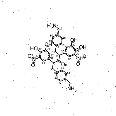 NCc1ccc(CC(C(=O)C(Cc2ccc(CN)cc2)c2cc(O)c(O)c([N+](=O)[O-])c2)c2cc(O)c(O)c([N+](=O)[O-])c2)cc1